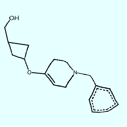 OCC1CC(OC2=CCN(Cc3ccccc3)CC2)C1